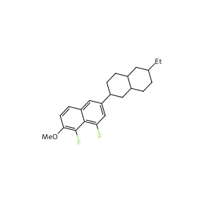 CCC1CCC2CC(c3cc(F)c4c(F)c(OC)ccc4c3)CCC2C1